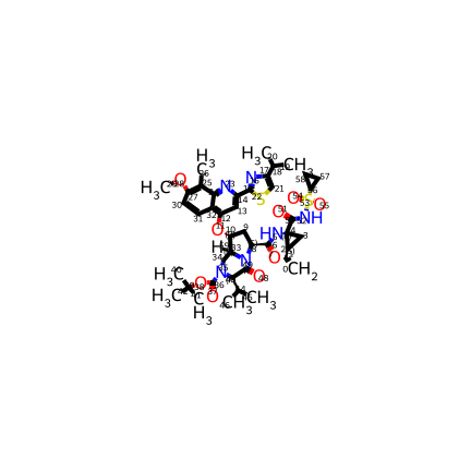 C=C[C@@H]1C[C@]1(NC(=O)[C@@H]1C[C@@H](Oc2cc(-c3nc(C(C)C)cs3)nc3c(C)c(OC)ccc23)[C@H]2CN(C(=O)OC(C)(C)C)[C@H](C(C)C)C(=O)N21)C(=O)NS(=O)(=O)C1CC1